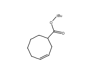 CC(C)(C)OC(=O)C1CC=CCCCC1